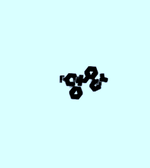 CC(C)N1CCC[C@H]1c1ccccc1CC(C)(C)N1CC[C@H](F)C[C@H]1c1ccccc1